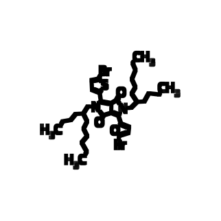 CCCCCCC(CCCC)CN1C(=O)C2=C(c3ccc(Br)s3)N(CC(CCCC)CCCCCC)C(=O)C2=C1c1ccc(Br)o1